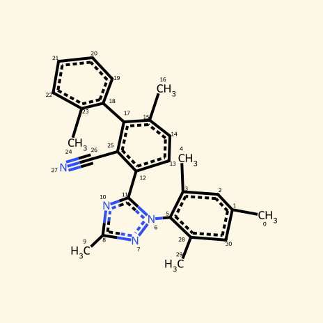 Cc1cc(C)c(-n2nc(C)nc2-c2ccc(C)c(-c3ccccc3C)c2C#N)c(C)c1